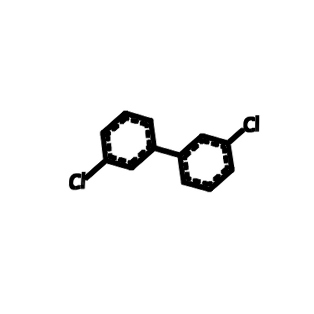 Clc1cccc(-c2cccc(Cl)c2)c1